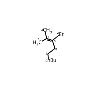 CCCCCCC(CC)=C(C)C